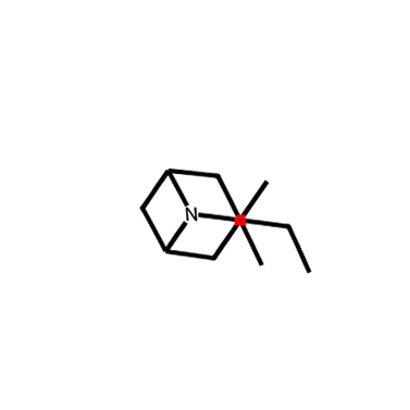 CCC1CC2CC(C1)N2C(C)C